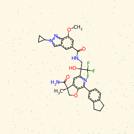 COc1cc(C(=O)NCC(O)(c2cc3c(c(-c4ccc5c(c4)CCC5)n2)OC[C@]3(C)C(N)=O)C(F)(F)F)cc2cn(C3CC3)nc12